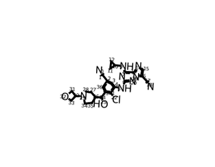 N#Cc1cc(Nc2nc(NC3CC3)c3ncc(C#N)n3n2)c(Cl)c(C(O)C2CCN(C3COC3)CC2)c1